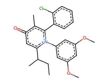 CCC(C)c1cc(=O)c(C)c(-c2ccccc2Cl)n1-c1cc(OC)cc(OC)c1